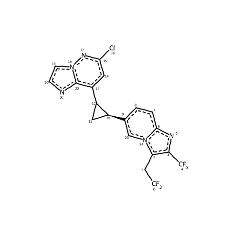 FC(F)(F)Cc1c(C(F)(F)F)nc2ccc([C@H]3CC3c3cc(Cl)nn4ccnc34)cn12